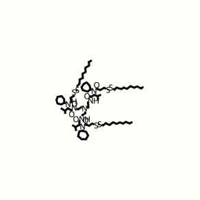 CCCCCCCCCCSSCCC(=O)N(C1CCCCCC1)C(C(=O)NCCN(CCNC(=O)C(C(C)C)N(C(=O)CCSSCCCCCCCCCC)C1CCCCCC1)CCNC(=O)C(C(C)C)N(C(=O)CCSSCCCCCCCCCC)C1CCCCCC1)C(C)C